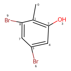 Cc1c(O)cc(Br)cc1Br